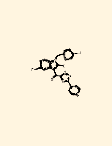 O=C(c1noc(-c2ccncc2)n1)c1c(Cl)n(Cc2ccc(Cl)cc2)c2ccc(Cl)cc12